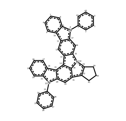 c1ccc(-n2c3ccccc3c3cc4c5c6c7ccccc7n(-c7ccccc7)c6cc6c7c(n(c4cc32)c65)CCC7)cc1